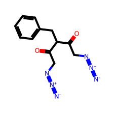 [N-]=[N+]=NCC(=O)C(Cc1ccccc1)C(=O)CN=[N+]=[N-]